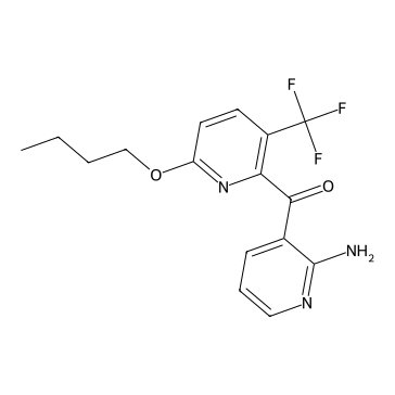 CCCCOc1ccc(C(F)(F)F)c(C(=O)c2cccnc2N)n1